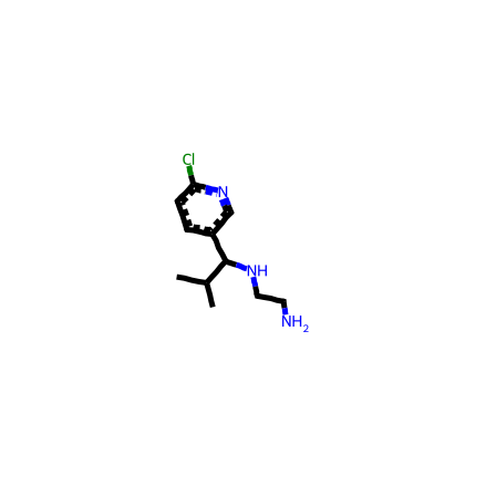 CC(C)C(NCCN)c1ccc(Cl)nc1